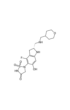 O=C1CN(c2c(O)cc3c(c2F)C[C@H](CNCC2CCOCC2)N3)S(=O)(=O)N1